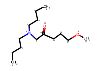 CCCCN(CCCC)CC(=O)CCCO[SiH3]